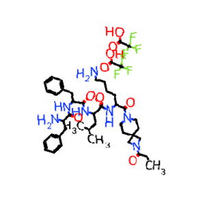 CCC(=O)N1CC2(CCN(C(=O)C(CCCCN)NC(=O)C(CC(C)C)NC(=O)C(Cc3ccccc3)NC(=O)C(N)Cc3ccccc3)CC2)C1.O=C(O)C(F)(F)F.O=C(O)C(F)(F)F